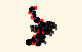 CC[C@H](C)[C@@H]([C@@H](CC(=O)N1CCC[C@H]1[C@H](OC)[C@@H](C)C(=O)N[C@@]1(C(=O)N2CCCCO2)C[C@@H]1c1ccccc1)OC)N(C)C(=O)[C@@H](NC(=O)[C@H](C(C)C)N(C)CCCC(=O)OC1CCN(C(=O)CCCN2C(=O)C=CC2=O)CC1)C(C)C